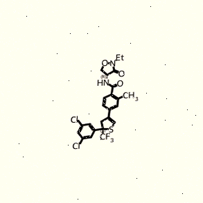 CCN1OC[C@@H](NC(=O)c2ccc(C3=CS[C@@](c4cc(Cl)cc(Cl)c4)(C(F)(F)F)C3)cc2C)C1=O